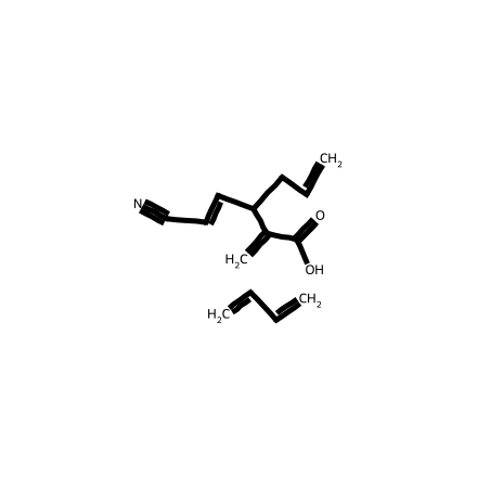 C=CC=C.C=CCC(C=CC#N)C(=C)C(=O)O